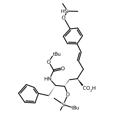 C[SiH](C)Oc1ccc(C=CC[C@H](C[C@H](O[Si](C)(C)C(C)(C)C)[C@H](Cc2ccccc2)NC(=O)OC(C)(C)C)C(=O)O)cc1